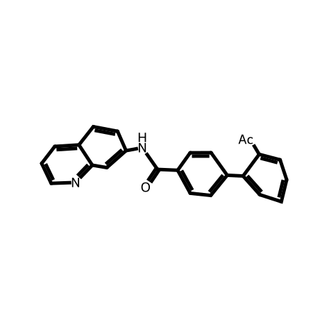 CC(=O)c1ccccc1-c1ccc(C(=O)Nc2ccc3cccnc3c2)cc1